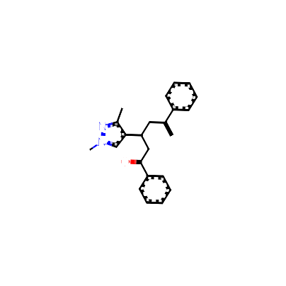 C=C(CC(CC(=O)c1ccccc1)c1cn(C)nc1C)c1ccccc1